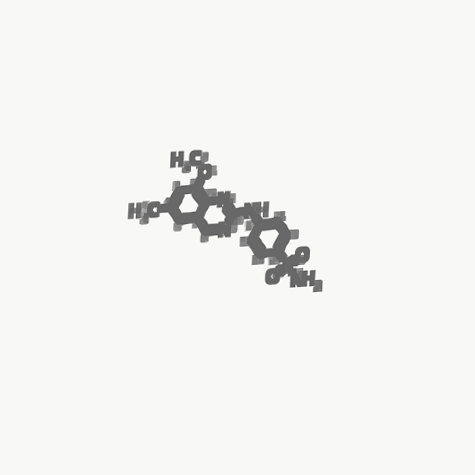 COc1cc(C)cc2cnc(Nc3ccc(S(N)(=O)=O)cc3)nc12